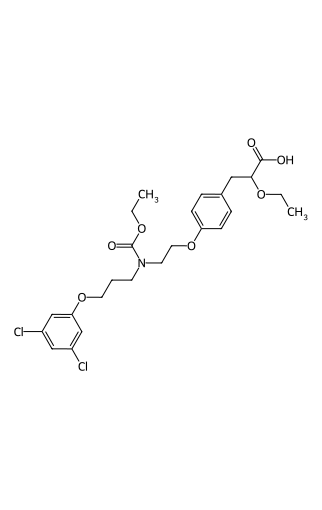 CCOC(=O)N(CCCOc1cc(Cl)cc(Cl)c1)CCOc1ccc(CC(OCC)C(=O)O)cc1